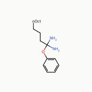 CCCCCCCCCCCC(N)(N)Oc1ccccc1